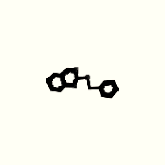 c1ccc(COc2ncc3ccccc3n2)cc1